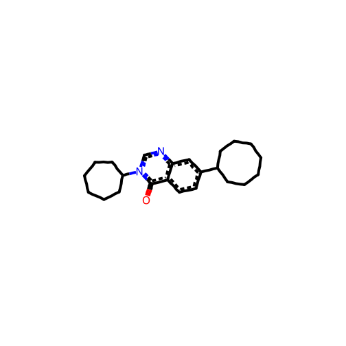 O=c1c2ccc(C3CCCCCCC3)cc2ncn1C1CCCCCC1